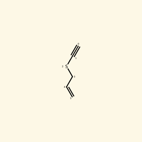 C#CSCC=C